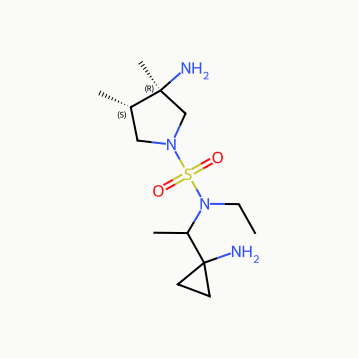 CCN(C(C)C1(N)CC1)S(=O)(=O)N1C[C@H](C)[C@@](C)(N)C1